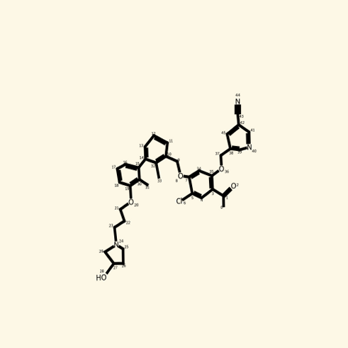 CC(=O)c1cc(Cl)c(OCc2cccc(-c3cccc(OCCCN4CCC(O)C4)c3C)c2C)cc1OCc1cncc(C#N)c1